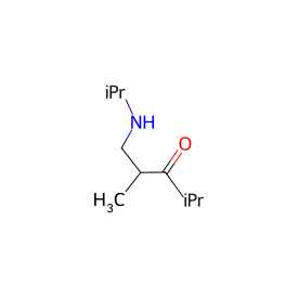 CC(C)NCC(C)C(=O)C(C)C